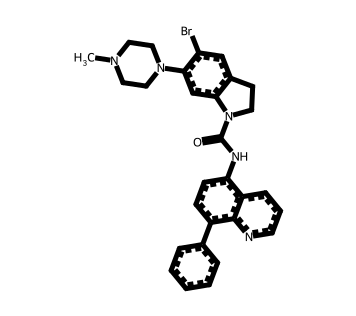 CN1CCN(c2cc3c(cc2Br)CCN3C(=O)Nc2ccc(-c3ccccc3)c3ncccc23)CC1